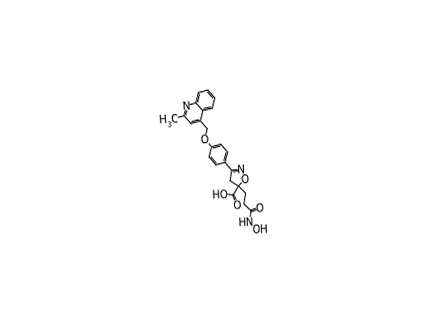 Cc1cc(COc2ccc(C3=NOC(CCC(=O)NO)(C(=O)O)C3)cc2)c2ccccc2n1